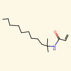 C=CC(=O)NC(C)(C)CCCCCCCCC